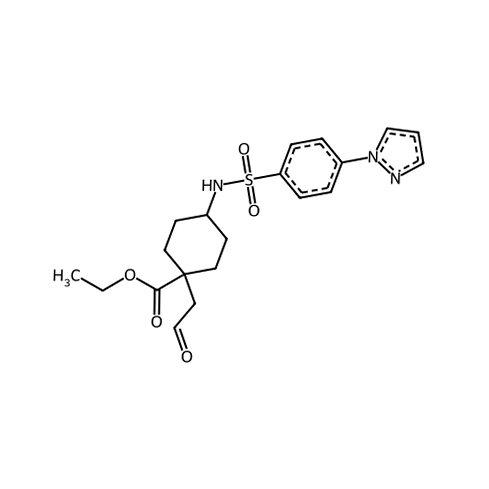 CCOC(=O)C1(CC=O)CCC(NS(=O)(=O)c2ccc(-n3cccn3)cc2)CC1